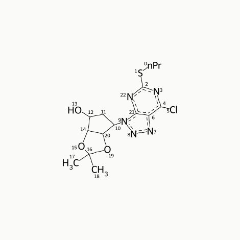 CCCSc1nc(Cl)c2nnn(C3CC(O)C4OC(C)(C)OC43)c2n1